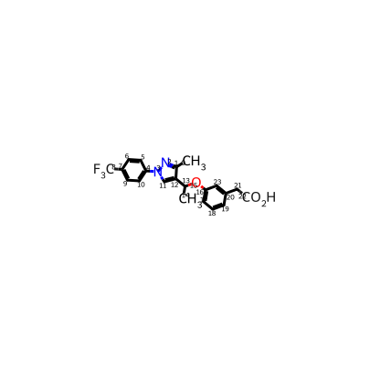 Cc1nn(-c2ccc(C(F)(F)F)cc2)cc1C(C)Oc1cccc(CC(=O)O)c1